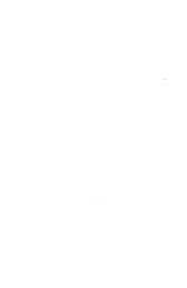 C=CC(C(C)=O)c1ccc(OCCO)cc1